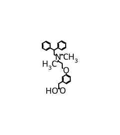 CCN(CC(c1ccccc1)c1ccccc1)C(C)CCOc1cccc(CC(=O)O)c1